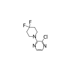 FC1(F)CCN(c2nccnc2Cl)CC1